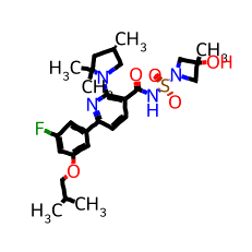 CC(C)COc1cc(F)cc(-c2ccc(C(=O)NS(=O)(=O)N3CC(C)(O)C3)c(N3C[C@@H](C)CC3(C)C)n2)c1